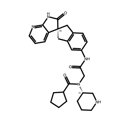 O=C(CN(C(=O)C1CCCC1)[C@H]1CCCNC1)Nc1ccc2c(c1)C[C@@]1(C2)C(=O)Nc2ncccc21